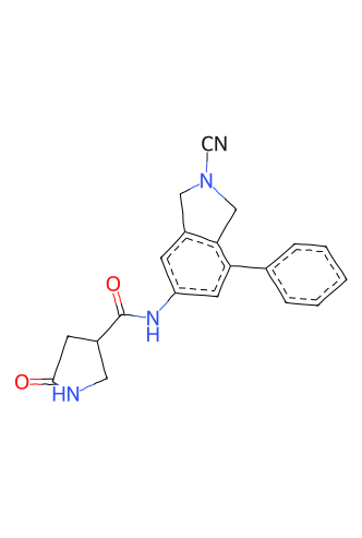 N#CN1Cc2cc(NC(=O)C3CNC(=O)C3)cc(-c3ccccc3)c2C1